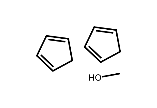 C1=CCC=C1.C1=CCC=C1.CO